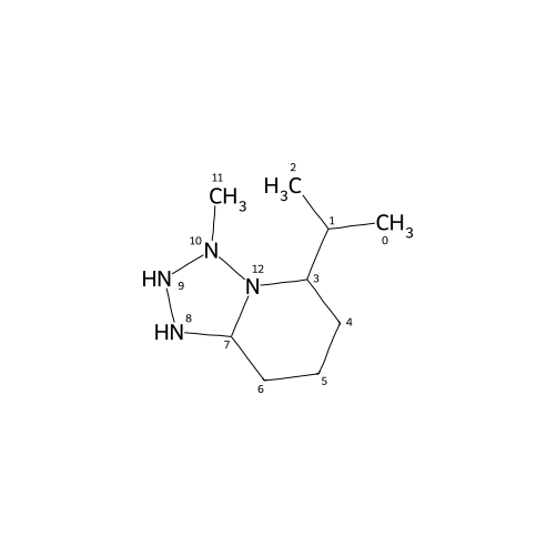 CC(C)C1CCCC2NNN(C)N21